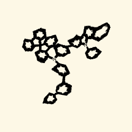 c1ccc(-c2cccc(-c3ccc(N(c4ccc(-c5ccc6c7ccc8ccccc8c7n(-c7ccccc7)c6c5)cc4)c4cccc5c4-c4ccccc4C54c5ccccc5-c5ccccc54)cc3)c2)cc1